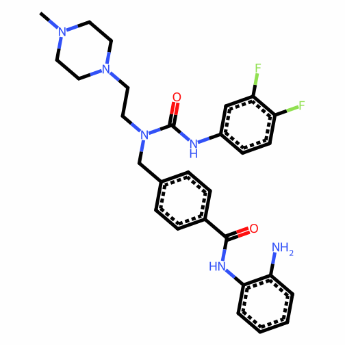 CN1CCN(CCN(Cc2ccc(C(=O)Nc3ccccc3N)cc2)C(=O)Nc2ccc(F)c(F)c2)CC1